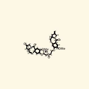 C=C1C[C@H]2C=Nc3cc(OCCP(=O)(CCOc4cc5c(cc4OC)C(=O)N4CC(=O)C[C@H]4C=N5)OCC)c(OC)cc3C(=O)N2C1